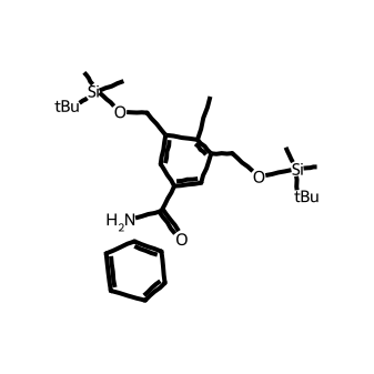 Cc1c(CO[Si](C)(C)C(C)(C)C)cc(C(N)=O)cc1CO[Si](C)(C)C(C)(C)C.c1ccccc1